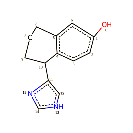 Oc1ccc2c(c1)CCCC2c1c[nH]cn1